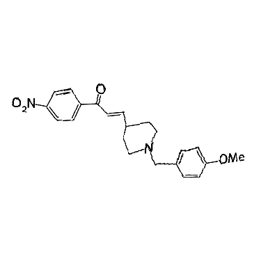 COc1ccc(CN2CCC(/C=C/C(=O)c3ccc([N+](=O)[O-])cc3)CC2)cc1